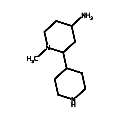 CN1CCC(N)CC1C1CCNCC1